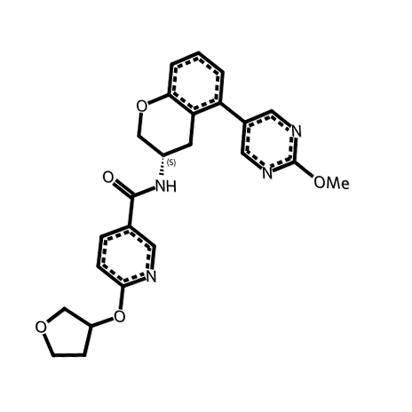 COc1ncc(-c2cccc3c2C[C@H](NC(=O)c2ccc(OC4CCOC4)nc2)CO3)cn1